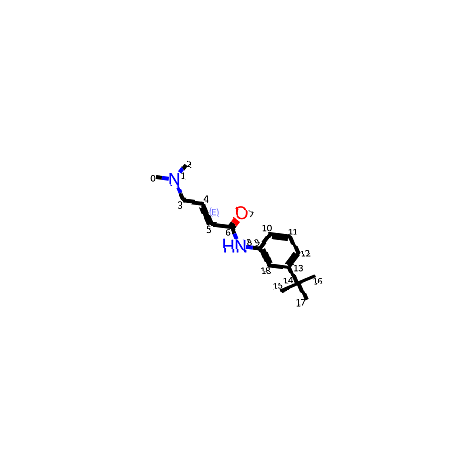 CN(C)C/C=C/C(=O)Nc1cccc(C(C)(C)C)c1